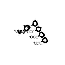 O=C([O-])c1ccccc1.O=C([O-])c1ccccc1.O=C([O-])c1ccccc1.O=C([O-])c1ccccc1.O=C([O-])c1ccccc1.[Al+3].[Mg+2]